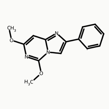 COc1cc2nc(-c3[c]cccc3)cn2c(OC)n1